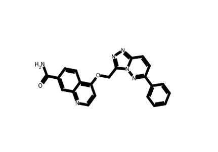 NC(=O)c1ccc2c(OCc3nnc4ccc(-c5ccccc5)nn34)ccnc2c1